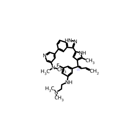 C=C/C=C(/c1cc(F)cc(NCCN(C)C)c1)c1cc(-c2n[nH]c3ccc(-c4cncc(N(C)C)c4)cc23)[nH]c1C